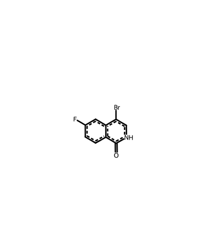 O=c1[nH]cc(Br)c2cc(F)ccc12